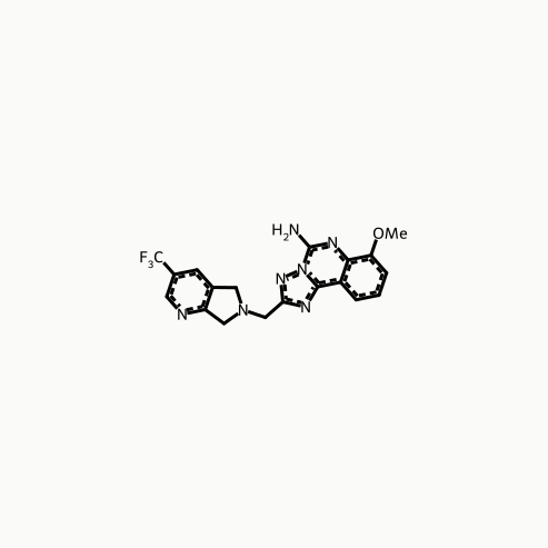 COc1cccc2c1nc(N)n1nc(CN3Cc4cc(C(F)(F)F)cnc4C3)nc21